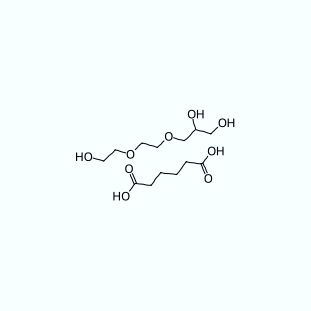 O=C(O)CCCCC(=O)O.OCCOCCOCC(O)CO